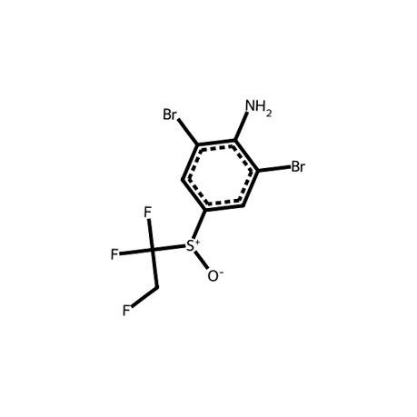 Nc1c(Br)cc([S+]([O-])C(F)(F)CF)cc1Br